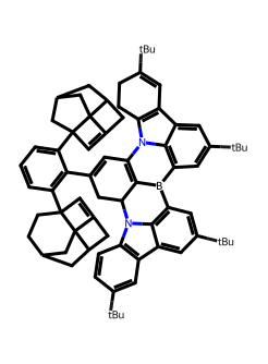 CC(C)(C)C1=Cc2c(n3c4c(cc(C(C)(C)C)cc24)B2C4=C3C=C(c3c(C56C=C7CC8CC(CC5)CC786)cccc3C35C=C6CC7CC(C3)CC675)CC4n3c4ccc(C(C)(C)C)cc4c4cc(C(C)(C)C)cc2c43)CC1